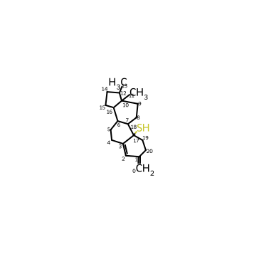 C=C1C=C2CCC3C(CCC4(C)C(C)CCC34)C2(S)CC1